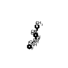 COc1cc2c(SNC(=O)Nc3c(F)cccc3F)ncnc2cc1OCC1CCN(C)CC1